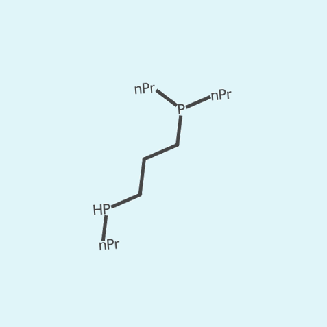 CCCPCCCP(CCC)CCC